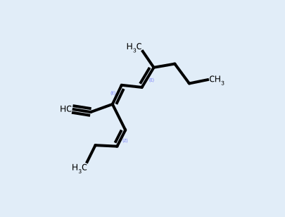 C#CC(/C=C\CC)=C/C=C(\C)CCC